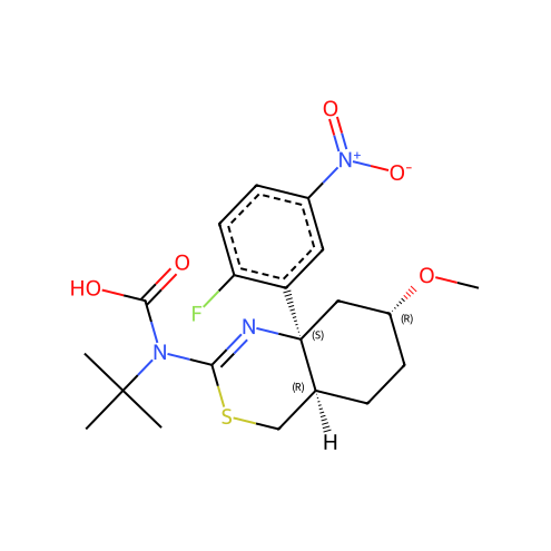 CO[C@@H]1CC[C@H]2CSC(N(C(=O)O)C(C)(C)C)=N[C@@]2(c2cc([N+](=O)[O-])ccc2F)C1